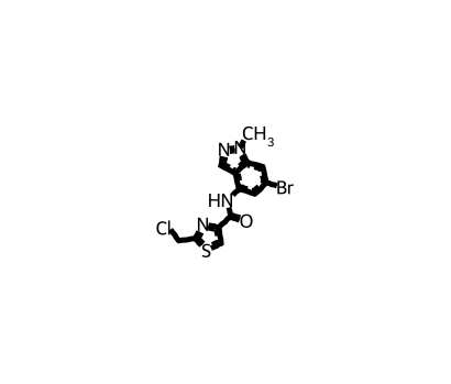 Cn1ncc2c(NC(=O)c3csc(CCl)n3)cc(Br)cc21